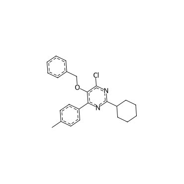 Cc1ccc(-c2nc(C3CCCCC3)nc(Cl)c2OCc2ccccc2)cc1